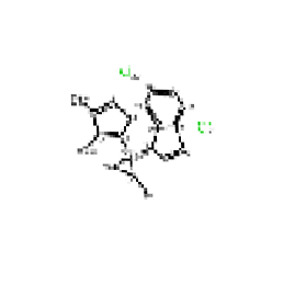 CCC1=CC[C]([Zr+2]2([CH]3C=Cc4ccccc43)[CH2][CH]2C)=C1CC.[Cl-].[Cl-]